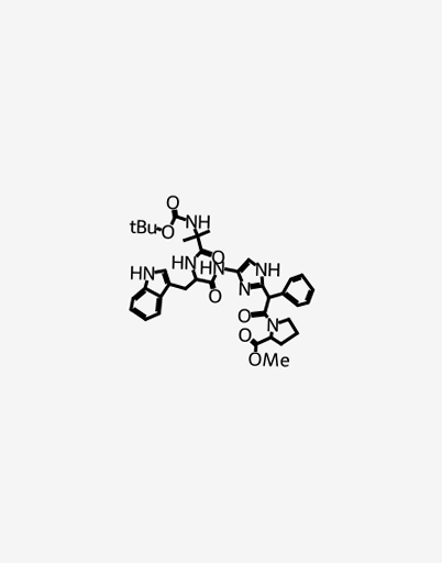 COC(=O)C1CCCN1C(=O)C(c1ccccc1)c1nc(NC(=O)C(Cc2c[nH]c3ccccc23)NC(=O)C(C)(C)NC(=O)OC(C)(C)C)c[nH]1